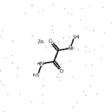 O=C(NS)C(=O)NS.[Zn]